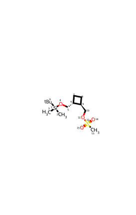 CC(C)(C)[Si](C)(C)OC[C@@H]1CC[C@H]1COS(C)(=O)=O